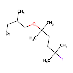 CC(C)CC(C)COC(C)(C)CCC(C)(C)I